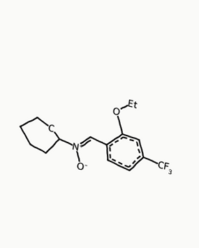 CCOc1cc(C(F)(F)F)ccc1C=[N+]([O-])C1CCCCC1